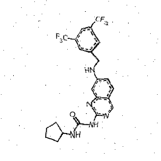 O=C(Nc1ncc2ccc(NCc3cc(C(F)(F)F)cc(C(F)(F)F)c3)cc2n1)NC1CCCC1